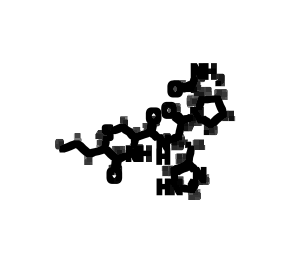 CCCC1SCC(C(=O)N[C@@H](Cc2c[nH]cn2)C(=O)N2CCC[C@H]2C(N)=O)NC1=O